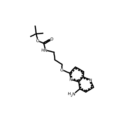 CC(C)(C)OC(=O)NCCCOc1ccc2nccc(N)c2n1